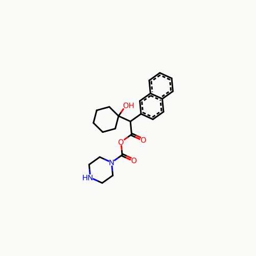 O=C(OC(=O)N1CCNCC1)C(c1ccc2ccccc2c1)C1(O)CCCCC1